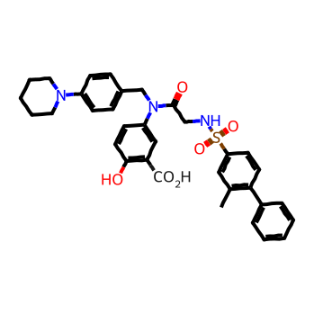 Cc1cc(S(=O)(=O)NCC(=O)N(Cc2ccc(N3CCCCC3)cc2)c2ccc(O)c(C(=O)O)c2)ccc1-c1ccccc1